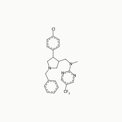 CN(CC1CN(Cc2ccccc2)CC1c1ccc(Cl)cc1)c1ncc(C(F)(F)F)cn1